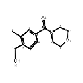 Cc1cc(C(=O)N2CCOCC2)ccc1CO